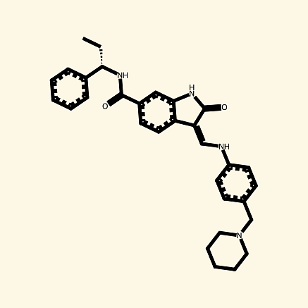 CC[C@H](NC(=O)c1ccc2c(c1)NC(=O)C2=CNc1ccc(CN2CCCCC2)cc1)c1ccccc1